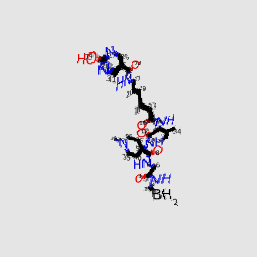 BCNC(=O)CNC(=O)C1(NC(=O)[C@@H](NC(=O)CCCCCNC(=O)c2cnc(O)nc2)C(C)C)CCN(C)CC1